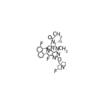 C#Cc1c(F)ccc2cccc(-c3ncc4c(N(C)[C@@H]5CCN(C(=O)C=C)[C@@H]5C5CC5)nc(OC[C@@]56CCCN5C[C@H](F)C6)nc4c3F)c12